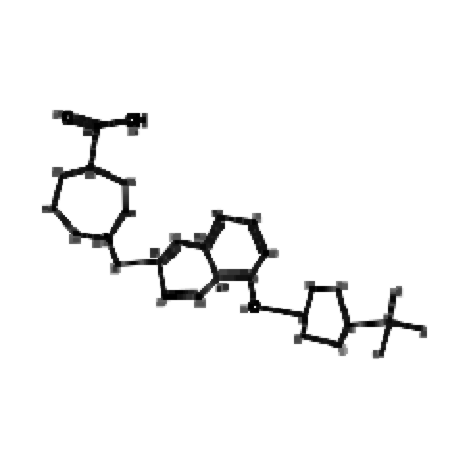 CC(C)(C)C1CCC(Oc2cccc3cc(CN4CCCC(C(=O)O)CC4)ccc23)CC1